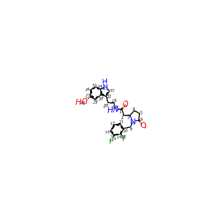 O=C(CC1CCC(=O)N1Cc1cccc(F)c1F)NCCc1c[nH]c2ccc(O)cc12